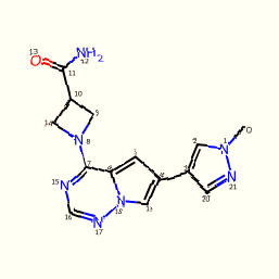 Cn1cc(-c2cc3c(N4CC(C(N)=O)C4)ncnn3c2)cn1